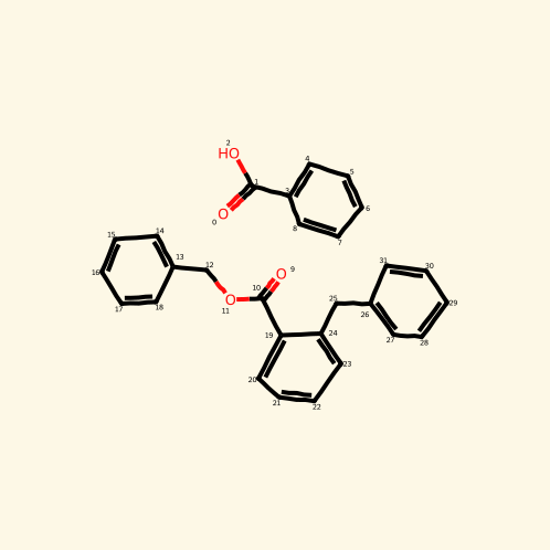 O=C(O)c1ccccc1.O=C(OCc1ccccc1)c1ccccc1Cc1ccccc1